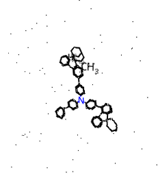 C[C@H]1CC2CCC[C@H](C2)[C@@]12c1ccccc1-c1cc(-c3ccc(N(c4ccc(-c5ccccc5)cc4)c4ccc(-c5cccc6c5-c5ccccc5C65CCCCC5)cc4)cc3)ccc12